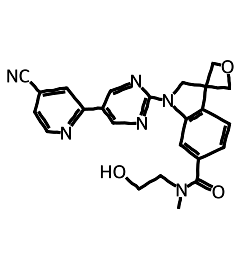 CN(CCO)C(=O)c1ccc2c(c1)N(c1ncc(-c3cc(C#N)ccn3)cn1)CC21COC1